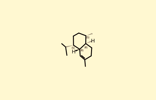 CC1=C[C@H]2[C@H](CC1)[C@@H](C)CC[C@H]2C(C)C